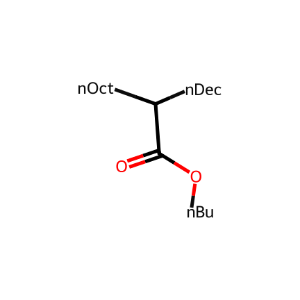 CCCCCCCCCCC(CCCCCCCC)C(=O)OCCCC